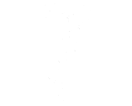 CN(CCNCc1ccc(C(=O)Nc2ccccc2NC(=O)CC(C)(C)C)cc1)C(=O)OC(C)(C)C